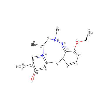 CC[C@H](C)COC1=CC=CC2Cc3cc(=O)c(C(=O)O)cn3C(C(C)(C)C)CN(CC)/N=C/12